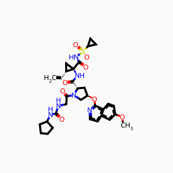 C=C[C@@H]1C[C@]1(NC(=O)[C@@H]1C[C@@H](Oc2nccc3cc(OC)ccc23)CN1C(=O)CNC(=O)NC1CCCC1)C(=O)NS(=O)(=O)C1CC1